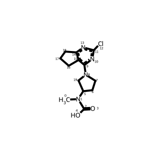 CN(C(=O)O)C1CCN(c2nc(Cl)nc3c2CCC3)C1